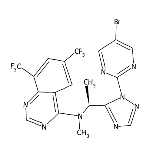 C[C@@H](c1ncnn1-c1ncc(Br)cn1)N(C)c1ncnc2c(C(F)(F)F)cc(C(F)(F)F)cc12